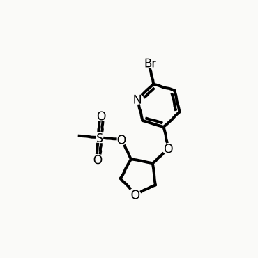 CS(=O)(=O)OC1COCC1Oc1ccc(Br)nc1